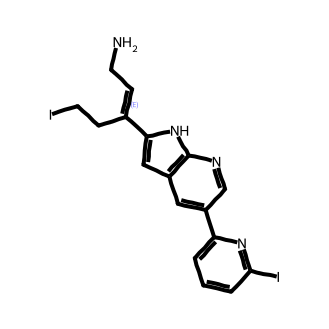 NC/C=C(\CCI)c1cc2cc(-c3cccc(I)n3)cnc2[nH]1